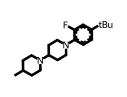 CC1CCN(C2CCN(c3ccc(C(C)(C)C)cc3F)CC2)CC1